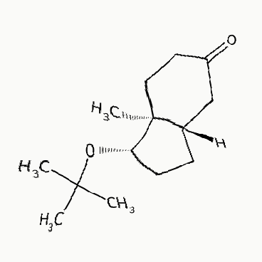 CC(C)(C)O[C@H]1CC[C@H]2CC(=O)CC[C@@]21C